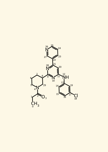 CCC(=O)N1CCCC(c2nc(Nc3cccc(Cl)c3)cc(-c3cccnc3)n2)C1